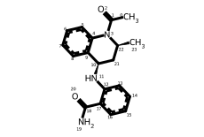 CC(=O)N1c2ccccc2[C@H](Nc2ccccc2C(N)=O)C[C@@H]1C